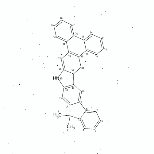 CC1(C)c2ccccc2-c2cc3c(cc21)NC1=Cc2c(c4ccccc4c4ccccc24)CC13